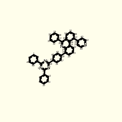 c1ccc(-c2nc(-c3ccccc3)nc(-c3ccc(-c4cccc5c4nc(-c4ccccc4)c4cccc(-c6ccncc6)c45)cc3)n2)cc1